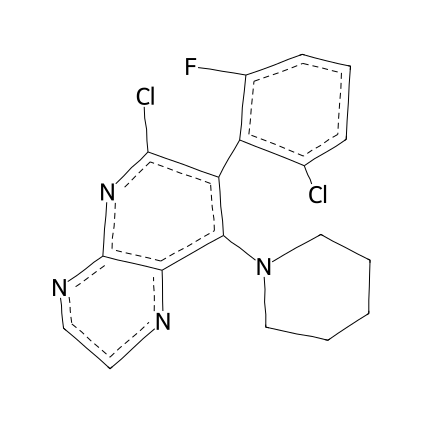 Fc1cccc(Cl)c1-c1c(Cl)nc2nccnc2c1N1CCCCC1